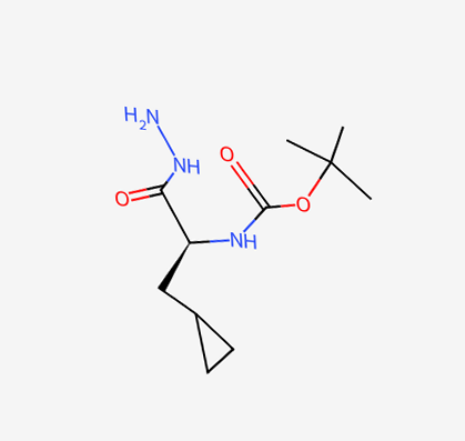 CC(C)(C)OC(=O)N[C@@H](CC1CC1)C(=O)NN